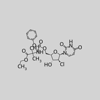 CCOC(=O)C(C)(C)NP(=O)(OC[C@H]1O[C@@H](n2ccc(=O)[nH]c2=O)[C@@H](Cl)[C@@H]1O)Oc1ccccc1